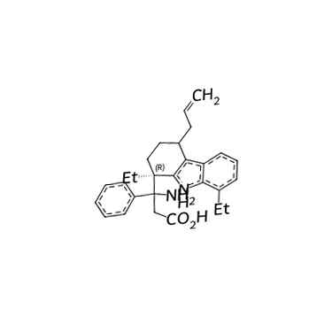 C=CCC1CC[C@](CC)(C(N)(CC(=O)O)c2ccccc2)c2[nH]c3c(CC)cccc3c21